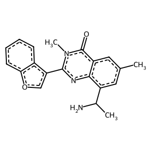 Cc1cc(C(C)N)c2nc(-c3coc4ccccc34)n(C)c(=O)c2c1